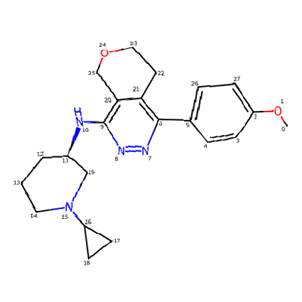 COc1ccc(-c2nnc(N[C@@H]3CCCN(C4CC4)C3)c3c2CCOC3)cc1